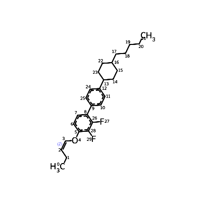 CC/C=C\Oc1ccc(-c2ccc(C3CCC(CCCCC)CC3)cc2)c(F)c1F